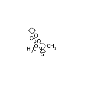 COC=C(OCCC(C)c1cscn1)C(=O)Oc1ccccc1